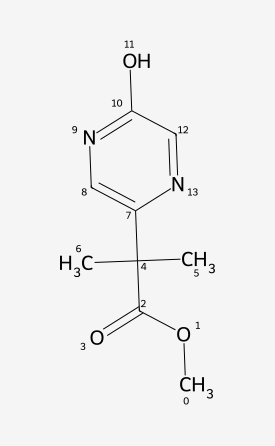 COC(=O)C(C)(C)c1cnc(O)cn1